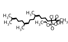 CCOP(=O)(OCC)C(Cl)(CCCC=C(C)CCC=C(C)CCC=C(C)C)C(=O)O